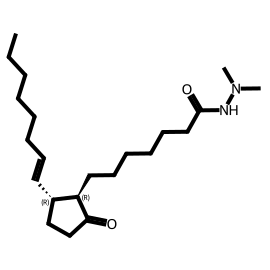 CCCCCCC=C[C@H]1CCC(=O)[C@@H]1CCCCCCC(=O)NN(C)C